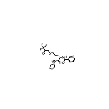 O=C(N[C@@H](CCCSCC(=O)C(F)(F)F)C(=O)NC1CCCC1)c1cccnc1